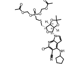 CC(=O)OCOP(=O)(CSC[C@H]1O[C@@H](n2ccc3c(NC4CCCC4)c(C#N)c(Cl)nc32)[C@@H]2OC(C)(C)O[C@@H]21)OCOC(C)=O